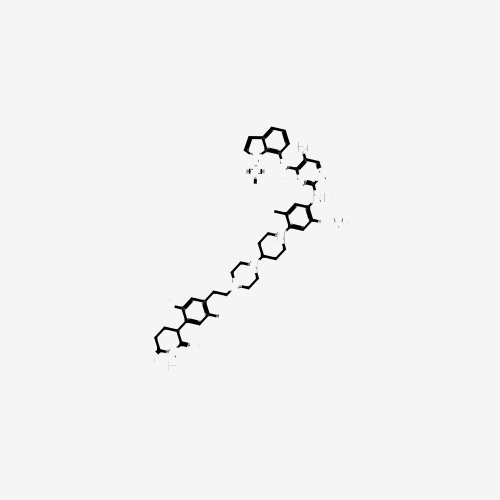 COc1cc(N2CCC(N3CCN(CCc4cc(F)c(C5CCC(=O)NC5=O)cc4F)CC3)CC2)c(C)cc1Nc1ncc(Br)c(Nc2cccc3ccn(S(C)(=O)=O)c23)n1